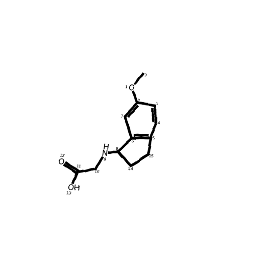 COc1ccc2c(c1)C(NCC(=O)O)CC2